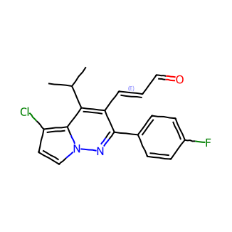 CC(C)c1c(/C=C/C=O)c(-c2ccc(F)cc2)nn2ccc(Cl)c12